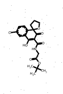 CC(C)(C)OC(=O)CNC(=O)C1=C(O)c2cc(Cl)ccc2C2(CCCO2)C1=O